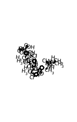 C#CC(C)Oc1cc(N2C(=O)C3=C(CCCC3)C2=O)c(F)cc1Cl.CC1COc2ccccc2N1C(=O)C(Cl)Cl.CCNc1nc(Cl)nc(NC(C)(C)C)n1.CCc1cccc(C)c1N(C(=O)CCl)C(C)COC.O=C(O)CNCP(=O)(O)O